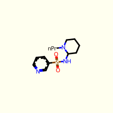 CCCN1CCCCC1NS(=O)(=O)c1cccnc1